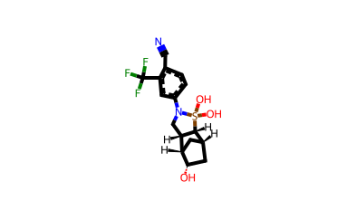 N#Cc1ccc(N2C[C@H]3[C@@H]4C[C@@H](C[C@@H]4O)[C@H]3S2(O)O)cc1C(F)(F)F